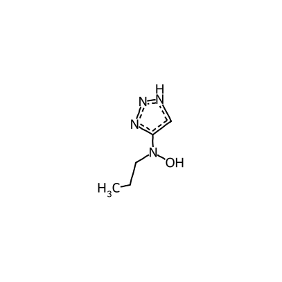 CCCN(O)c1c[nH]nn1